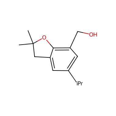 CC(C)c1cc(CO)c2c(c1)CC(C)(C)O2